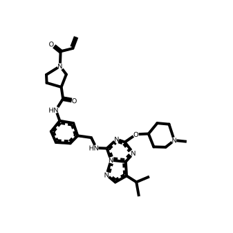 C=CC(=O)N1CCC(C(=O)Nc2cccc(CNc3nc(OC4CCN(C)CC4)nc4c(C(C)C)cnn34)c2)C1